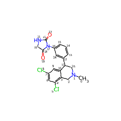 CN1Cc2c(Cl)cc(Cl)cc2C(c2cccc(N3C(=O)CNC3=O)c2)C1